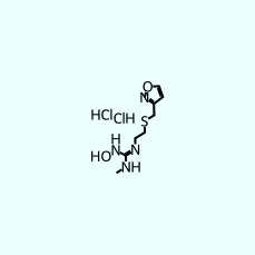 CN/C(=N/CCSCc1ccon1)NO.Cl.Cl